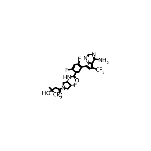 CC(O)(CC(=O)N1C[C@H](F)[C@H](NC(=O)c2cc(-c3cc(C(F)(F)F)c4c(N)ncnn34)c(F)cc2F)C1)C(F)(F)F